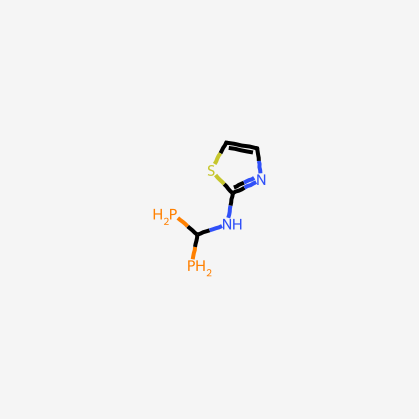 PC(P)Nc1nccs1